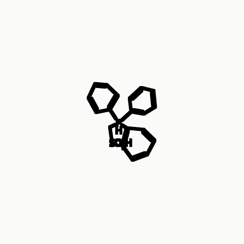 O=S(=O)(O)C[PH](c1ccccc1)(c1ccccc1)c1ccccc1